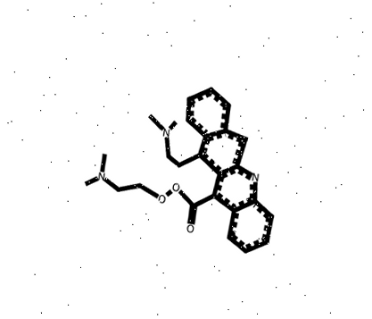 CN(C)CCOOC(=O)c1c2ccccc2nc2cc3ccccc3c(CCN(C)C)c12